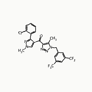 Cc1c(C(=O)c2cn(C)nc2-c2ccccc2Cl)nnn1Cc1cc(C(F)(F)F)cc(C(F)(F)F)c1